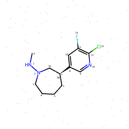 CNN1CCCC[C@H](c2cnc(Cl)c(F)c2)C1